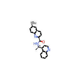 C[C@@H](NC(=O)c1ccc2cc(C(C)(C)C)ccc2n1)c1ccnc2ccccc12